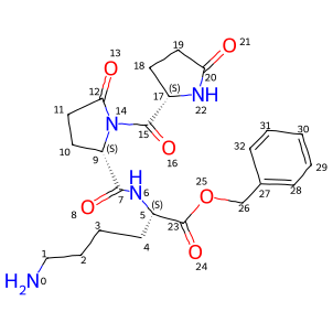 NCCCC[C@H](NC(=O)[C@@H]1CCC(=O)N1C(=O)[C@@H]1CCC(=O)N1)C(=O)OCc1ccccc1